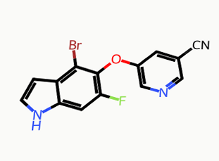 N#Cc1cncc(Oc2c(F)cc3[nH]ccc3c2Br)c1